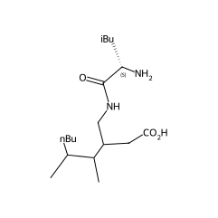 CCCCC(C)C(C)C(CNC(=O)[C@@H](N)C(C)CC)CC(=O)O